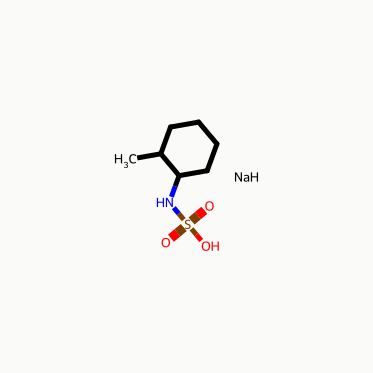 CC1CCCCC1NS(=O)(=O)O.[NaH]